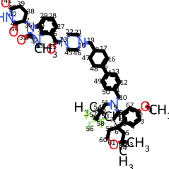 COc1ccc([C@]2(CCN(Cc3ccc(C4=CCC(CN5CCN(C(=O)c6cccc7c6n(C)c(=O)n7C6CCC(=O)NC6=O)CC5)CC4)cc3)CC(C)(C)C(F)(F)F)CCOC(C)(C)C2)cc1